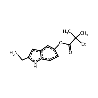 CCC(C)(C)C(=O)Oc1ccc2[nH]c(CN)cc2c1